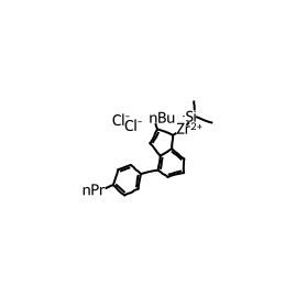 CCCCC1=Cc2c(-c3ccc(CCC)cc3)cccc2[CH]1[Zr+2][Si](C)C.[Cl-].[Cl-]